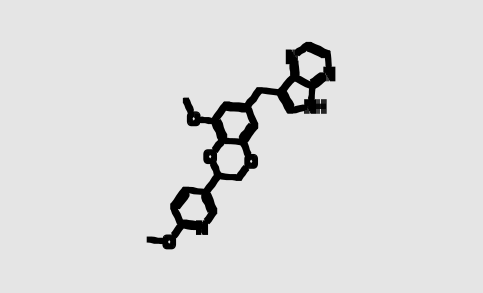 COc1ccc(C2COc3cc(Cc4c[nH]c5nccnc45)cc(OC)c3O2)cn1